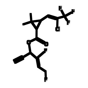 C#CC(OC(=O)C1C(/C=C(\Cl)C(F)(F)F)C1(C)C)/C(F)=C/CF